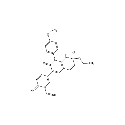 CCOC1(C)C=Cc2cc(-c3ccc(=N)n(C=N)c3)c(=O)n(-c3ccc(OC)cc3)c2N1